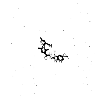 COc1cnc2nc(NCC(=O)c3cc(C)n(-c4sc(C)cc4C#N)c3C)[nH]c2c1